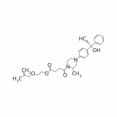 C#CC(O)(c1ccccc1)c1ccc(N2CCN(C(=O)CCC(=O)OCCOCC(=C)C)C(C)C2)cc1